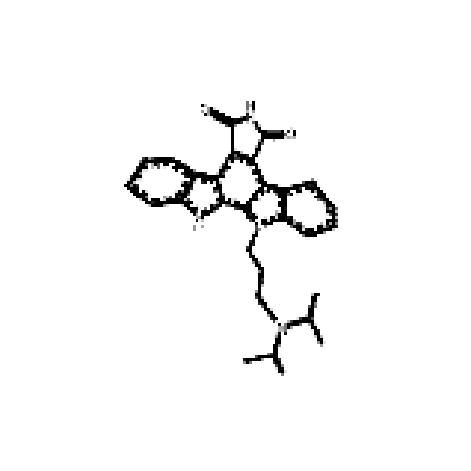 CC(C)N(CCCn1c2ccccc2c2c3c(c4c5ccccc5[nH]c4c21)C(=O)NC3=O)C(C)C